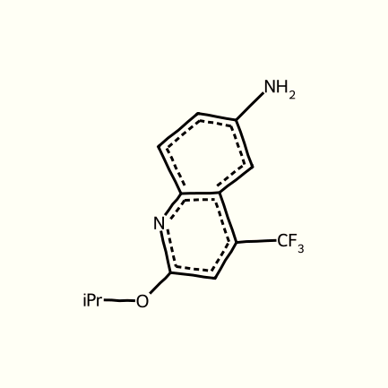 CC(C)Oc1cc(C(F)(F)F)c2cc(N)ccc2n1